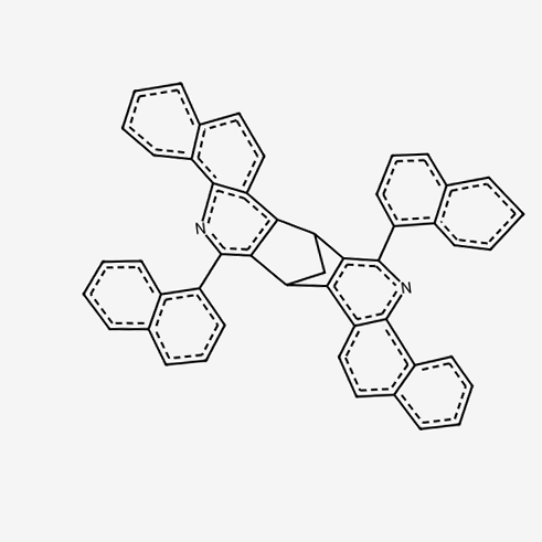 c1ccc2c(-c3nc4c(ccc5ccccc54)c4c3C3CC4c4c(-c5cccc6ccccc56)nc5c(ccc6ccccc65)c43)cccc2c1